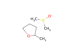 CC1CCCO1.C[S+](C)[O-]